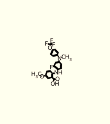 COc1ccc(Nc2ccc(N(C)c3ccc(OC(F)(F)F)cc3)cc2F)c(C(=O)O)c1